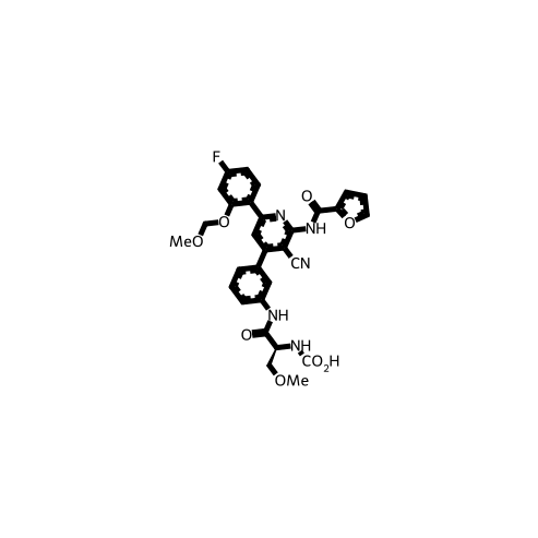 COCOc1cc(F)ccc1-c1cc(-c2cccc(NC(=O)[C@H](COC)NC(=O)O)c2)c(C#N)c(NC(=O)c2ccco2)n1